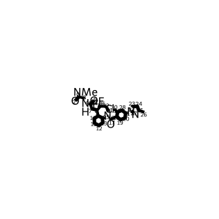 CNC(=O)CNC(=O)/C=C1/c2ccccc2N(C(=O)c2ccc(-n3ccc(C)n3)cc2Cl)CCC1(F)F